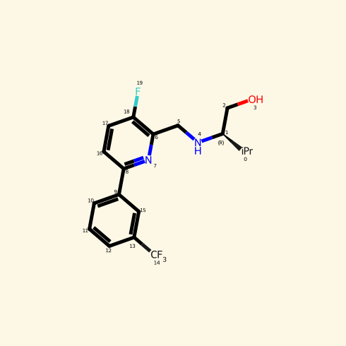 CC(C)[C@H](CO)NCc1nc(-c2cccc(C(F)(F)F)c2)ccc1F